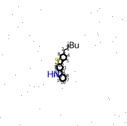 CCC(C)CCc1ccc2c(c1)sc1cc3[nH]c4ccccc4c3cc12